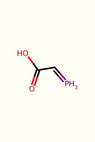 O=C(O)C=[PH3]